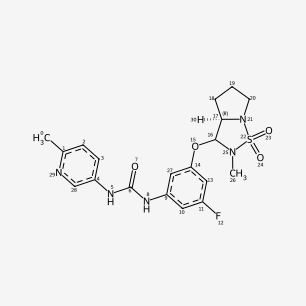 Cc1ccc(NC(=O)Nc2cc(F)cc(OC3[C@H]4CCCN4S(=O)(=O)N3C)c2)cn1